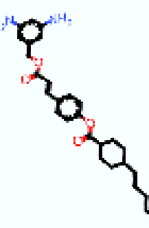 C=CCCCCC1CCC(C(=O)Oc2ccc(/C=C/C(=O)OCc3cc(N)cc(N)c3)cc2)CC1